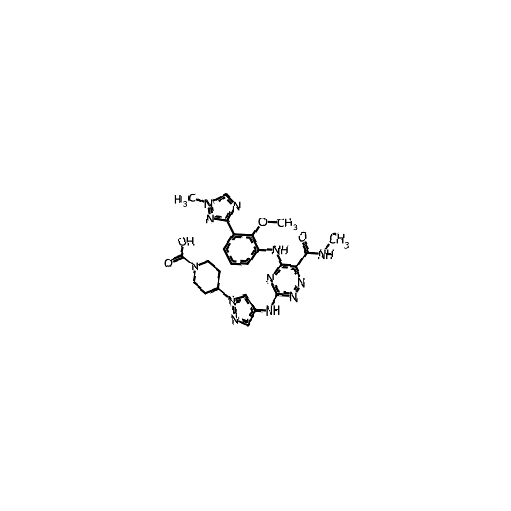 CNC(=O)c1nnc(Nc2cnn(C3CCN(C(=O)O)CC3)c2)nc1Nc1cccc(-c2ncn(C)n2)c1OC